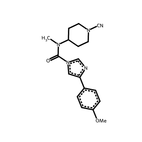 COc1ccc(-c2cn(C(=O)N(C)C3CCN(C#N)CC3)cn2)cc1